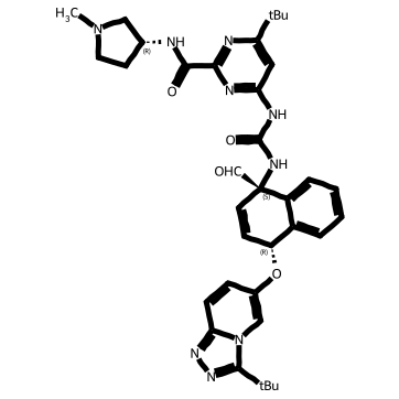 CN1CC[C@@H](NC(=O)c2nc(NC(=O)N[C@@]3(C=O)C=C[C@@H](Oc4ccc5nnc(C(C)(C)C)n5c4)c4ccccc43)cc(C(C)(C)C)n2)C1